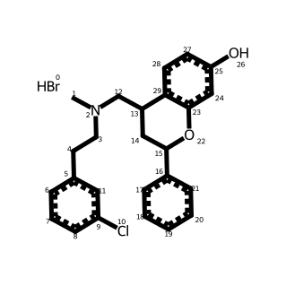 Br.CN(CCc1cccc(Cl)c1)CC1CC(c2ccccc2)Oc2cc(O)ccc21